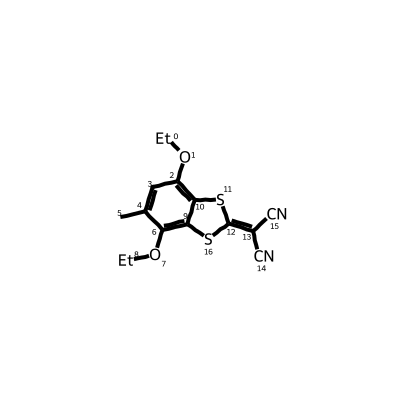 CCOc1cc(C)c(OCC)c2c1SC(=C(C#N)C#N)S2